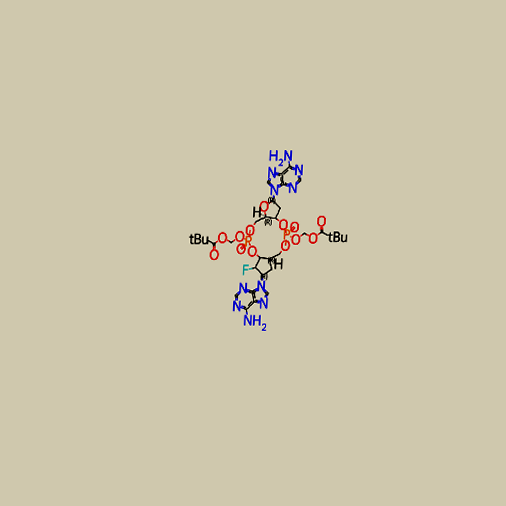 CC(C)(C)C(=O)OCOP1(=O)OC[C@H]2O[C@@H](n3cnc4c(N)ncnc43)CC2OP(=O)(OCOC(=O)C(C)(C)C)OC[C@H]2C[C@@H](n3cnc4c(N)ncnc43)C(F)C2O1